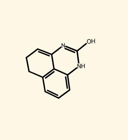 OC1=NC2=CCCc3cccc(c32)N1